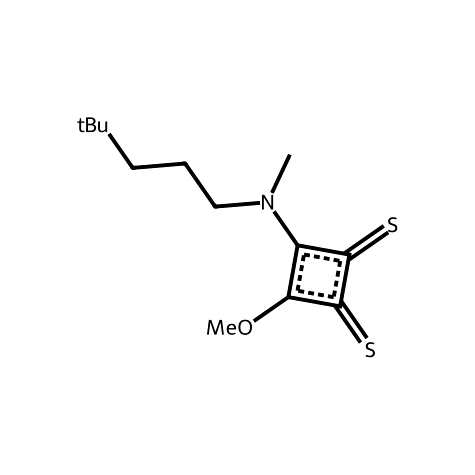 COc1c(N(C)CCCC(C)(C)C)c(=S)c1=S